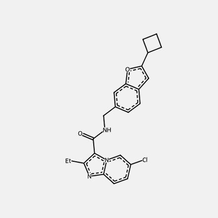 CCc1nc2ccc(Cl)cn2c1C(=O)NCc1ccc2cc(C3CCC3)oc2c1